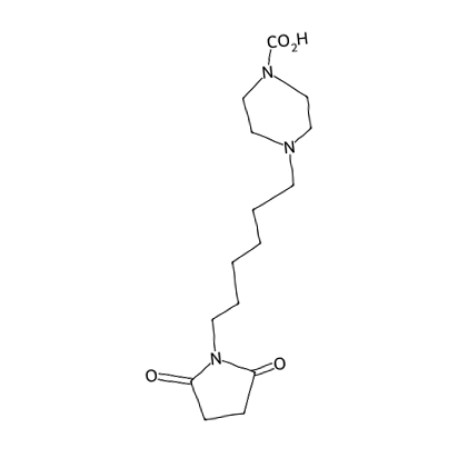 O=C(O)N1CCN(CCCCCCN2C(=O)CCC2=O)CC1